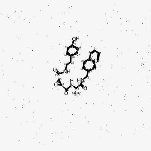 C/C=C\C=C/c1ccc(CNC(=O)[C@H](CCC)NC(=O)[C@H]2O[C@@H]2C(=O)NCCc2ccc(O)cc2)cc1